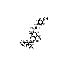 Cn1ccs/c1=N/S(=O)(=O)C1(COc2nncc3cc(C(=O)NCc4ccc(C#N)cc4)c(=O)n(C)c23)CC1